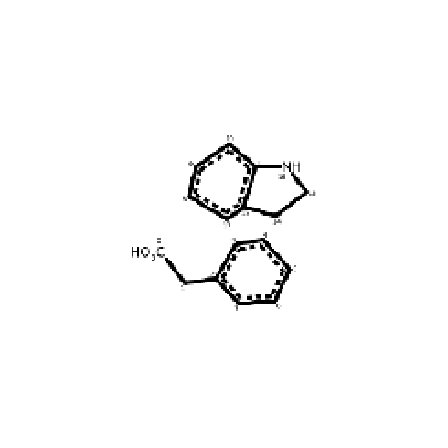 O=C(O)Cc1ccccc1.c1ccc2c(c1)CCN2